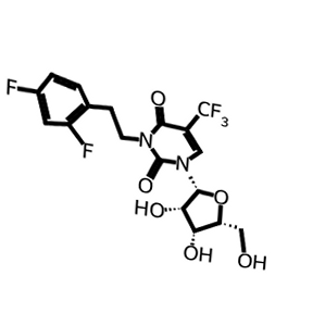 O=c1c(C(F)(F)F)cn([C@@H]2O[C@H](CO)[C@H](O)[C@@H]2O)c(=O)n1CCc1ccc(F)cc1F